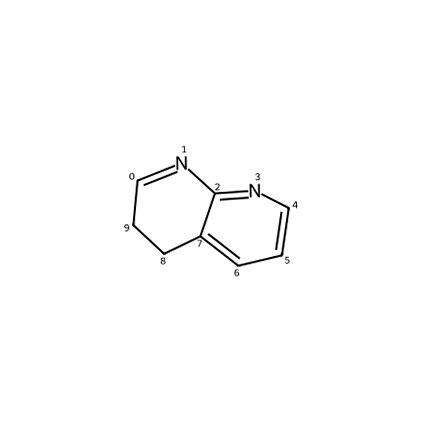 C1=Nc2ncccc2CC1